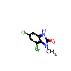 Cn1c(=O)[nH]c2cc(Cl)cc(Br)c21